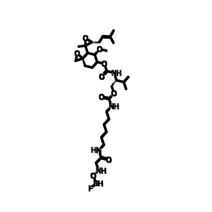 COC1C(OC(=O)N[C@@H](COC(=O)NCCCCCCNC(=O)CNOBF)C(C)C)CC[C@]2(CO2)C1C1(C)O[C@@H]1CC=C(C)C